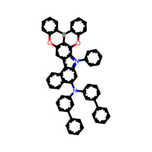 c1ccc(-c2cccc(N(c3cccc(-c4ccccc4)c3)c3cc4c(c5ccccc35)c3cc5c6c(c3n4-c3ccccc3)Oc3ccccc3B6c3ccccc3O5)c2)cc1